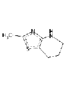 Cc1nc2c(s1)CCCN2